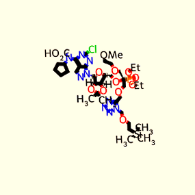 CCOP(=O)(OCC)[C@](COCCOC)(COCc1nnnn1COCC[Si](C)(C)C)OC[C@H]1O[C@@H](n2ncc3c(N(C(=O)O)C4CCCC4)nc(Cl)nc32)[C@@H]2OC(C)(C)O[C@@H]21